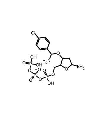 BC1CC(OC(N)c2ccc(Cl)cc2)C(COP(=O)(O)OP(=O)(O)OP(=O)(O)O)O1